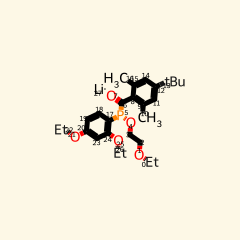 CCOCCOP(C(=O)c1c(C)cc(C(C)(C)C)cc1C)c1ccc(OCC)cc1OCC.[Li]